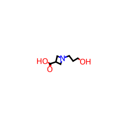 O=C(O)C1CN(CCCO)C1